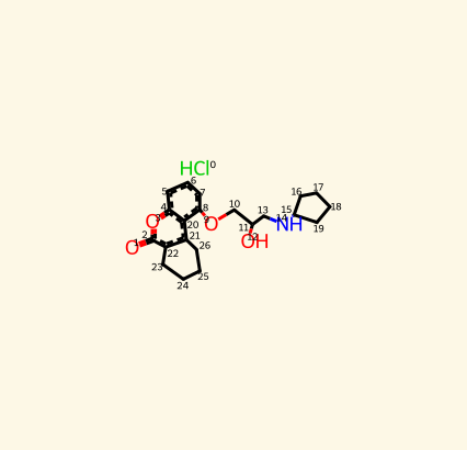 Cl.O=c1oc2cccc(OCC(O)CNC3CCCC3)c2c2c1CCCC2